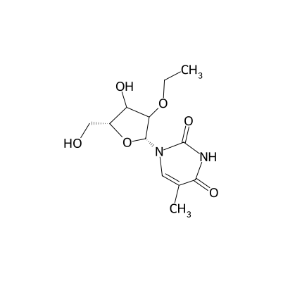 CCOC1C(O)[C@@H](CO)O[C@H]1n1cc(C)c(=O)[nH]c1=O